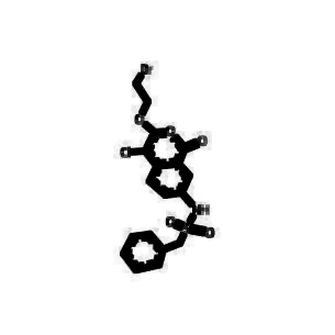 O=c1oc(OCCBr)c(Cl)c2ccc(NS(=O)(=O)Cc3ccccc3)cc12